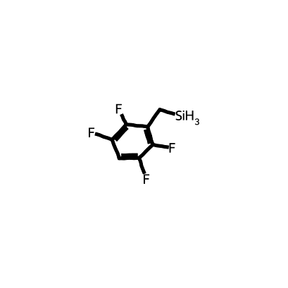 Fc1cc(F)c(F)c(C[SiH3])c1F